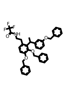 CC(c1cccc(OCc2ccccc2)c1)c1c(CCNC(=O)C(F)(F)F)ccc(OCc2ccccc2)c1OCc1ccccc1